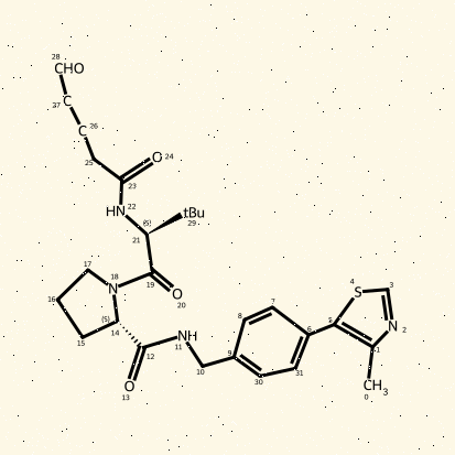 Cc1ncsc1-c1ccc(CNC(=O)[C@@H]2CCCN2C(=O)[C@@H](NC(=O)CCCC=O)C(C)(C)C)cc1